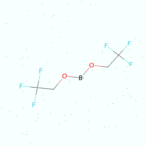 FC(F)(F)CO[B]OCC(F)(F)F